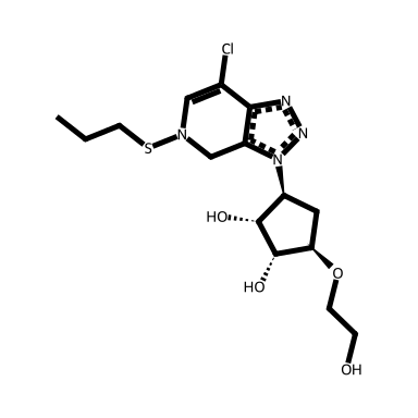 CCCSN1C=C(Cl)c2nnn([C@H]3C[C@@H](OCCO)[C@H](O)[C@@H]3O)c2C1